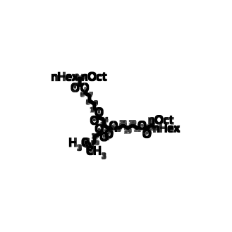 CCCCCCCCC(CCCCCC)C(=O)OCCCCCOC(=O)CC(OC(=O)CCN(C)C)C(=O)OCCCCCOC(=O)C(CCCCCC)CCCCCCCC